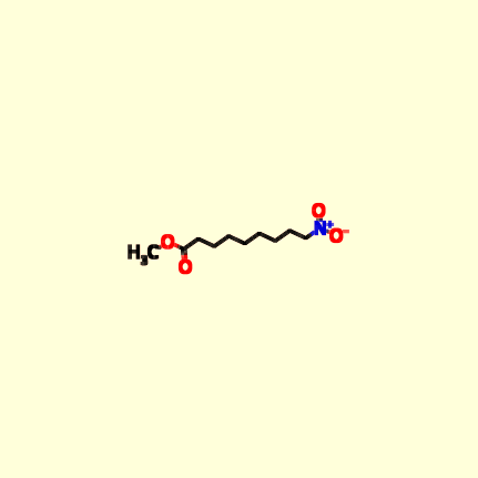 COC(=O)CCCCCCCC[N+](=O)[O-]